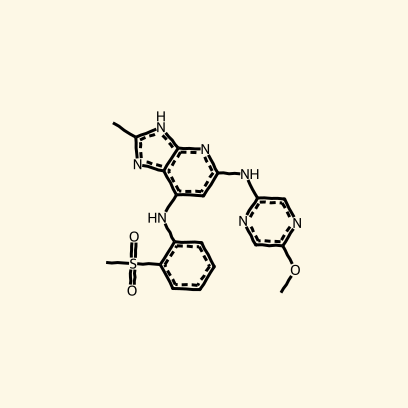 COc1cnc(Nc2cc(Nc3ccccc3S(C)(=O)=O)c3nc(C)[nH]c3n2)cn1